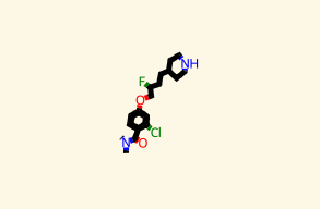 CN(C)C(=O)c1ccc(OCC(F)CCC2CCNCC2)cc1Cl